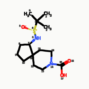 CC(C)(C)[S@@+]([O-])N[C@@H]1CCCC12CCN(C(=O)O)CC2